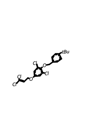 CC(C)(C)c1ccc(COc2c(Cl)cc(OCC=C(Cl)Cl)cc2Cl)cc1